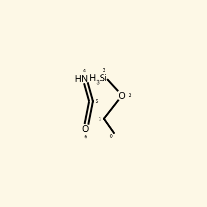 CCO[SiH3].N=C=O